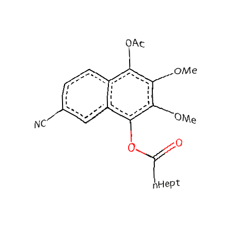 CCCCCCCC(=O)Oc1c(OC)c(OC)c(OC(C)=O)c2ccc(C#N)cc12